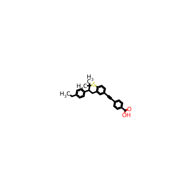 CCc1ccc(C2Cc3cc(C#Cc4ccc(C(=O)O)cc4)ccc3SC2(C)C)cc1